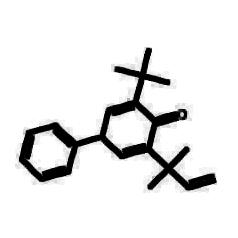 C=CC(C)(C)C1=CC(c2ccccc2)C=C(C(C)(C)C)C1=O